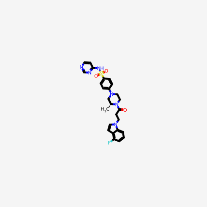 C[C@@H]1CN(c2ccc(S(=O)(=O)Nc3ccncn3)cc2)CCN1C(=O)CCn1ccc2c(F)cccc21